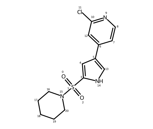 O=S(=O)(c1cc(-c2ccnc(Cl)c2)c[nH]1)N1CCCCC1